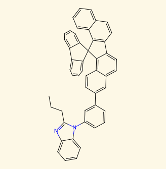 CCCc1nc2ccccc2n1-c1cccc(-c2ccc3c4c(ccc3c2)-c2ccc3ccccc3c2C42c3ccccc3-c3ccccc32)c1